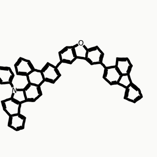 c1ccc(-n2c3ccc4ccccc4c3c3ccc4c5ccc(-c6ccc7oc8ccc(-c9ccc%10c%11c(cccc9%11)-c9ccccc9-%10)cc8c7c6)cc5c5ccccc5c4c32)cc1